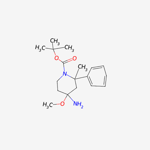 COC1(N)CCN(C(=O)OC(C)(C)C)C(C)(c2ccccc2)C1